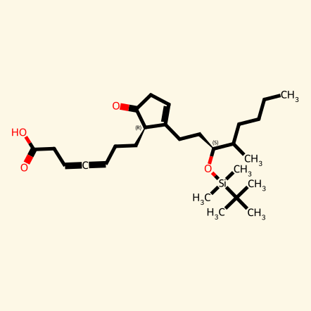 CCCCC(C)[C@H](CCC1=CCC(=O)[C@@H]1CCC=C=CCC(=O)O)O[Si](C)(C)C(C)(C)C